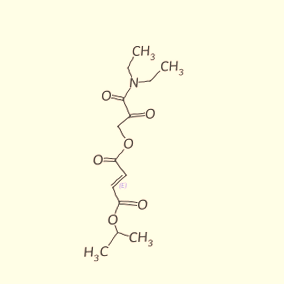 CCN(CC)C(=O)C(=O)COC(=O)/C=C/C(=O)OC(C)C